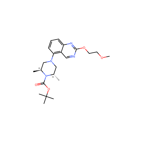 COCCOc1ncc2c(N3C[C@H](C)N(C(=O)OC(C)(C)C)[C@@H](C)C3)cccc2n1